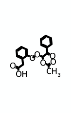 CC(=O)OC(OOc1ccccc1CC(=O)O)C(=O)c1ccccc1